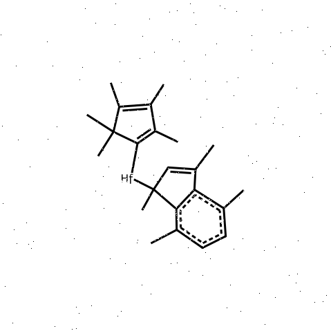 CC1=C[C](C)([Hf][C]2=C(C)C(C)=C(C)C2(C)C)c2c(C)ccc(C)c21